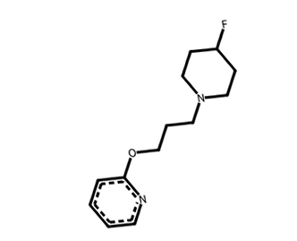 FC1CCN(CCCOc2ccccn2)CC1